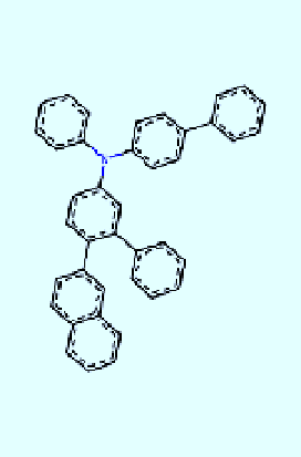 c1ccc(-c2ccc(N(c3ccccc3)c3ccc(-c4ccc5ccccc5c4)c(-c4ccccc4)c3)cc2)cc1